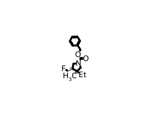 CC[C@]1(C)CN(C(=O)OCc2ccccc2)C[C@H]1CF